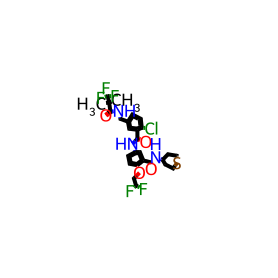 CC(C)(C(=O)NCc1ccc(Cl)c(C(=O)Nc2ccc(OCC(F)F)c(C(=O)NC3CCSCC3)c2)c1)C(F)(F)F